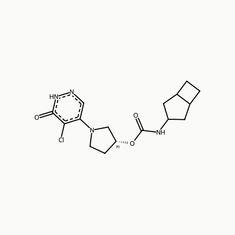 O=C(NC1CC2CCC2C1)O[C@@H]1CCN(c2cn[nH]c(=O)c2Cl)C1